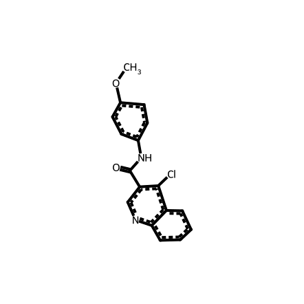 COc1ccc(NC(=O)c2cnc3ccccc3c2Cl)cc1